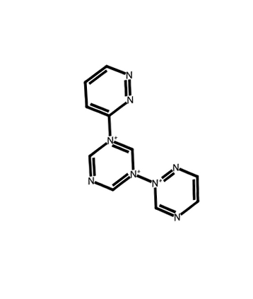 c1cnnc(-[n+]2cnc[n+](-[n+]3cnccn3)c2)c1